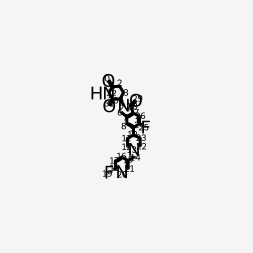 O=C1CCC(N2Cc3cc(C4CCN(Cc5ccc(F)nc5)CC4)c(F)cc3C2=O)C(=O)N1